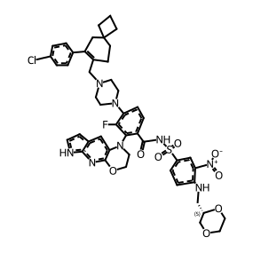 O=C(NS(=O)(=O)c1ccc(NC[C@H]2COCCO2)c([N+](=O)[O-])c1)c1ccc(N2CCN(CC3=C(c4ccc(Cl)cc4)CC4(CCC4)CC3)CC2)c(F)c1N1CCOc2nc3[nH]ccc3cc21